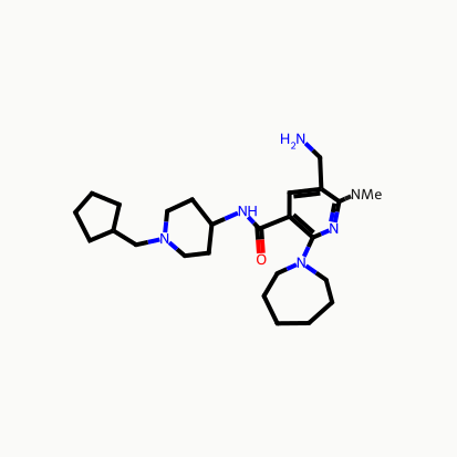 CNc1nc(N2CCCCCC2)c(C(=O)NC2CCN(CC3CCCC3)CC2)cc1CN